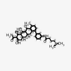 Cc1ccc(-c2cccc(NC(=O)CCCN(C)C)c2)c2c1C(=O)C1=C(O)[C@]3(O)C(=O)C(C(N)=O)=C(O)C[C@@H]3C[C@@H]1C2